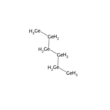 [GeH3][GeH2][GeH2][GeH2][GeH2][GeH3]